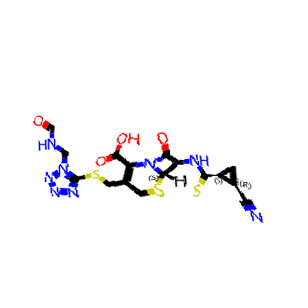 N#C[C@@H]1C[C@@H]1C(=S)NC1C(=O)N2C(C(=O)O)=C(CSc3nnnn3CNC=O)CS[C@@H]12